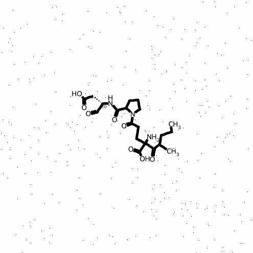 CCCC(C)C(=O)C(N)(CCC(=O)N1CCCC1C(=O)N[C@H](C=O)CC(=O)O)C(=O)O